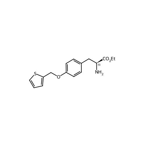 CCOC(=O)[C@@H](N)Cc1ccc(OCc2cccs2)cc1